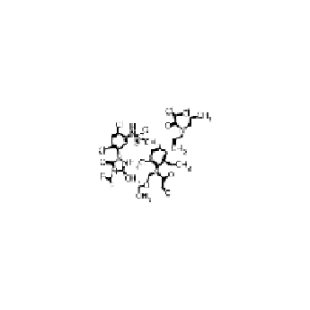 C=CCN(CC=C)C(=O)C(Cl)Cl.CCOCN(C(=O)CCl)c1c(C)cccc1CC.Cc1nn(-c2cc(NS(C)(=O)=O)c(Cl)cc2Cl)c(=O)n1C(F)F